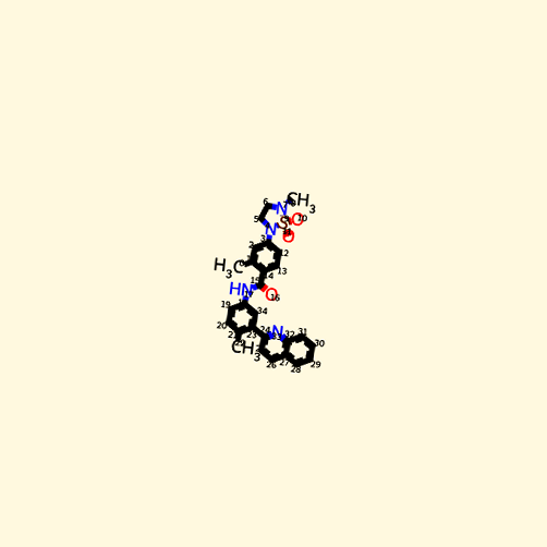 Cc1cc(N2CCN(C)S2(=O)=O)ccc1C(=O)Nc1ccc(C)c(-c2ccc3ccccc3n2)c1